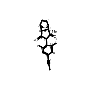 CC#Cc1cc(C)c(C2C(=O)C3C4CCC(O4)[C@H]3C2=O)c(C)c1